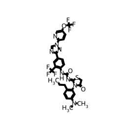 CCCc1ccc(N(C)C)cc1N1C(=O)CS/C1=N\C(=O)Nc1ccc(-c2ncn(-c3ccc(OC(F)(F)F)cn3)n2)cc1C(F)(F)F